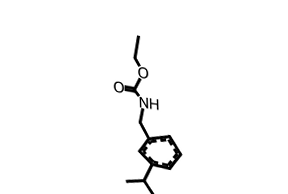 CCOC(=O)NCc1cccc(C(C)C)c1